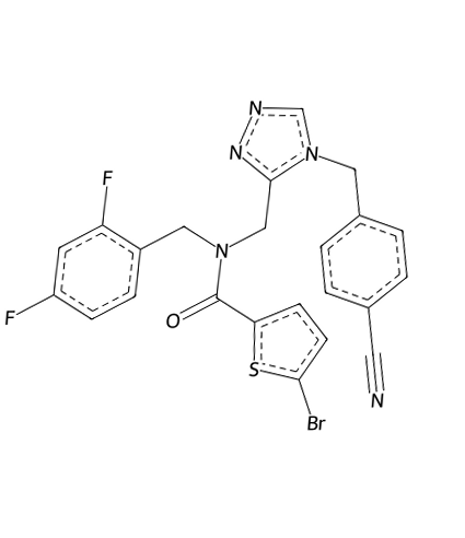 N#Cc1ccc(Cn2cnnc2CN(Cc2ccc(F)cc2F)C(=O)c2ccc(Br)s2)cc1